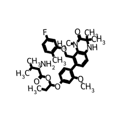 CCC(OC(=O)[C@@H](N)C(C)C)Oc1ccc(-c2ccc3c(c2COc2cc(F)ccc2C)N(C)C(=O)C(C)(C)N3)c(OC)c1